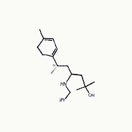 CC1=CC=C([C@@H](C)CC(CC(C)(C)O)NCC(C)C)CC1